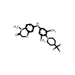 Cc1cc(Nc2ccc3c(c2)OCC(=O)N3C)cc(C)c1N1CCC(C(F)(F)F)CC1